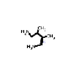 C/C(=C/N)C(C)CN